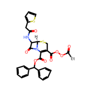 CCC(=O)OOC(=O)C1=C(C(=O)OC(c2ccccc2)c2ccccc2)N2C(=O)C(NC(=O)Cc3cccs3)[C@H]2SC1